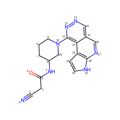 N#CCC(=O)NC1CCCN(c2nncc3cnc4[nH]ccc4c23)C1